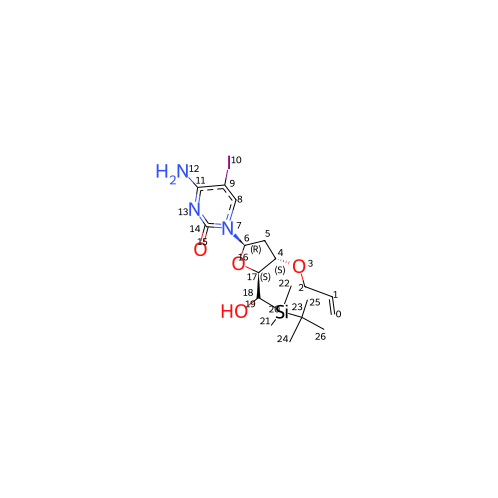 C=CCO[C@H]1C[C@H](n2cc(I)c(N)nc2=O)O[C@@H]1C(O)[Si](C)(C)C(C)(C)C